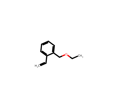 C=Cc1ccccc1COCC